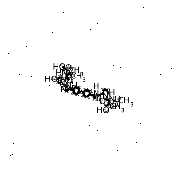 COC(=O)N[C@H](C(=O)N1CCCC1c1ncc(-c2ccc(-c3ccc(-c4cnc([C@@H]5C[C@@H](O)CN5C(=O)[C@@H](NC(=O)O)C(C)C)[nH]4)cc3)cc2)[nH]1)C(C)CO